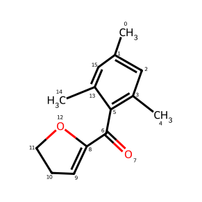 Cc1cc(C)c(C(=O)C2=CCCO2)c(C)c1